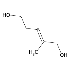 C/C(CO)=N\CCO